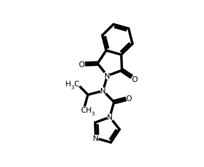 CC(C)N(C(=O)n1ccnc1)N1C(=O)c2ccccc2C1=O